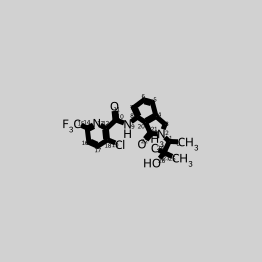 CC(N1Cc2cccc(NC(=O)c3nc(C(F)(F)F)ccc3Cl)c2C1=O)C(C)(C)O